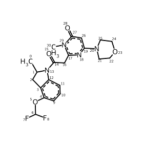 CC1Cc2c(OC(F)F)cccc2N1C(=O)Cc1nc(N2CCOCC2)cc(=O)n1C